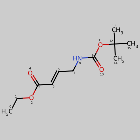 CCOC(=O)C=CCNC(=O)OC(C)(C)C